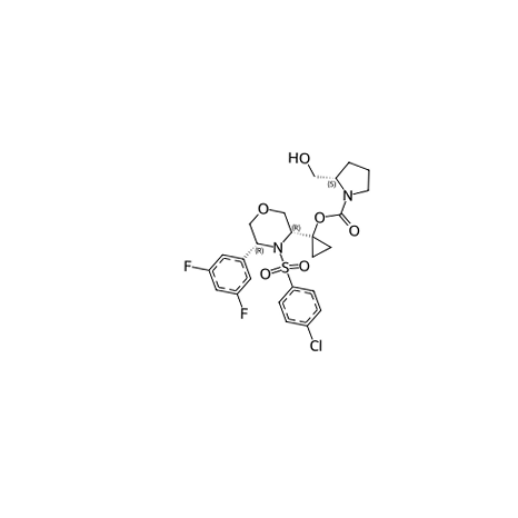 O=C(OC1([C@H]2COC[C@@H](c3cc(F)cc(F)c3)N2S(=O)(=O)c2ccc(Cl)cc2)CC1)N1CCC[C@H]1CO